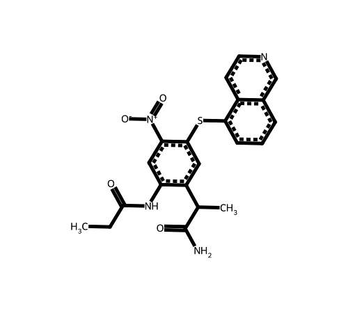 CCC(=O)Nc1cc([N+](=O)[O-])c(Sc2cccc3cnccc23)cc1C(C)C(N)=O